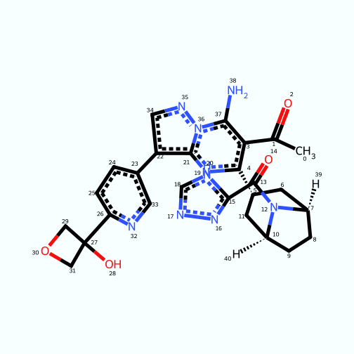 CC(=O)c1c([C@@H]2C[C@H]3CC[C@@H](C2)N3C(=O)c2nnc[nH]2)nc2c(-c3ccc(C4(O)COC4)nc3)cnn2c1N